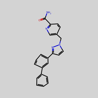 NC(=O)c1ccc(Cn2ccc(-c3cccc(-c4ccccc4)c3)n2)cn1